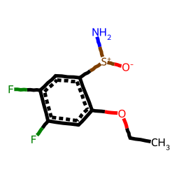 CCOc1cc(F)c(F)cc1[S+](N)[O-]